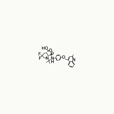 Cc1cc(COc2ccc(NC(=O)[C@@H]3[C@@H](C(=O)O)CC(F)(F)CN3C(C)(C)C)cc2)c2ccccc2n1